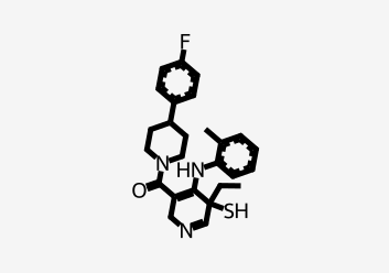 CCC1(S)C=NCC(C(=O)N2CCC(c3ccc(F)cc3)CC2)=C1Nc1ccccc1C